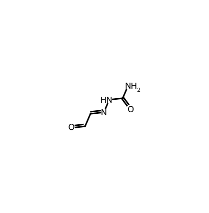 NC(=O)NN=CC=O